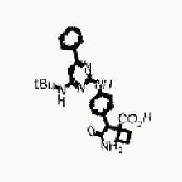 CC(C)(C)Nc1cc(-c2ccccc2)nc(Nc2ccc(C(C(N)=O)C3(C(=O)O)CCC3)cc2)n1